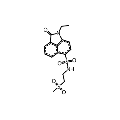 CCN1C(=O)c2cccc3c(S(=O)(=O)NCCS(C)(=O)=O)ccc1c23